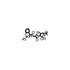 CCSC(=S)OC(C(=O)NC1C(=O)N2C(C(=O)O)=C(COC(C)=O)CSC12)c1ccccc1